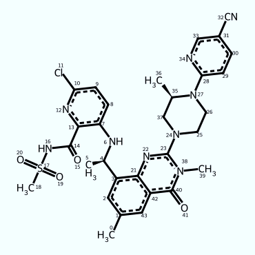 Cc1cc([C@@H](C)Nc2ccc(Cl)nc2C(=O)NS(C)(=O)=O)c2nc(N3CCN(c4ccc(C#N)cn4)[C@H](C)C3)n(C)c(=O)c2c1